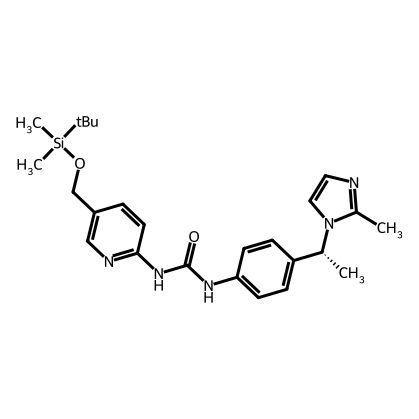 Cc1nccn1[C@H](C)c1ccc(NC(=O)Nc2ccc(CO[Si](C)(C)C(C)(C)C)cn2)cc1